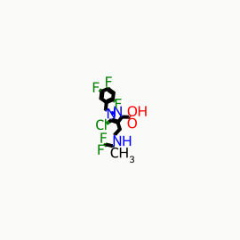 CC(NCCc1c(C(=O)O)nn(Cc2cc(F)c(F)cc2F)c1Cl)C(F)F